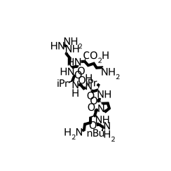 CCCC[C@H](N)C(=O)N[C@@H](CCCCN)C(=O)N1CCC[C@H]1C(=O)N[C@@H](CC(C)C)C(=O)NCC(=O)N[C@H](C(=O)N[C@@H](CCCNC(=N)N)C(=O)N[C@@H](CCCCN)C(=O)O)C(C)C